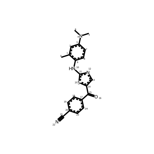 Cc1cc(N(C)C)ccc1Nc1ncc(C(=O)c2ccc(C#N)cc2)s1